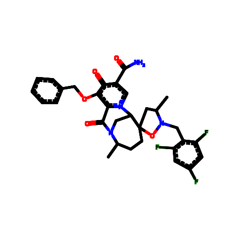 CC1CC2(CCC(C)N3CC2n2cc(C(N)=O)c(=O)c(OCc4ccccc4)c2C3=O)ON1Cc1c(F)cc(F)cc1F